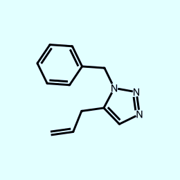 C=CCc1cnnn1Cc1ccccc1